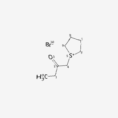 CCC(=O)C[S+]1CCCC1.[Br-]